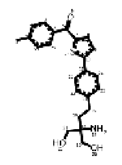 Cc1ccc(C(=O)c2ccc(-c3ccc(CCC(N)(CO)CO)cc3)s2)cc1